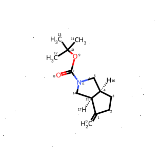 C=C1CC[C@@H]2CN(C(=O)OC(C)(C)C)C[C@H]12